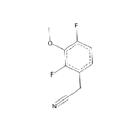 COc1c(F)ccc(CC#N)c1F